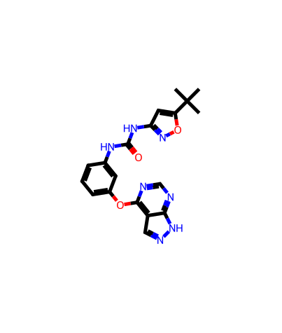 CC(C)(C)c1cc(NC(=O)Nc2cccc(Oc3ncnc4[nH]ncc34)c2)no1